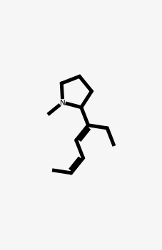 C/C=C\C=C(/CC)C1CCCN1C